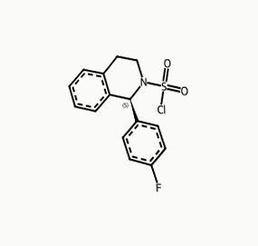 O=S(=O)(Cl)N1CCc2ccccc2[C@@H]1c1ccc(F)cc1